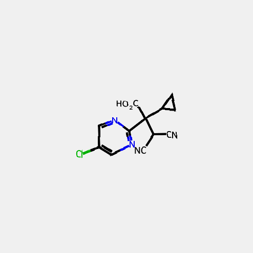 N#CC(C#N)C(C(=O)O)(c1ncc(Cl)cn1)C1CC1